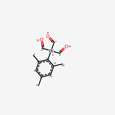 Cc1cc(C)[c]([W]([CH]=O)([CH]=O)[CH]=O)c(C)c1